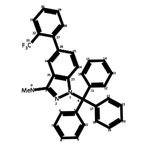 CNc1nn(C(c2ccccc2)(c2ccccc2)c2ccccc2)c2ccc(-c3ccccc3C(F)(F)F)cc12